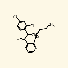 CCCC#Cc1ncccc1C(O)C(C)c1ccc(Cl)cc1Cl